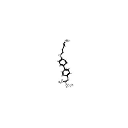 CCCCC=CCCSc1ccc(-c2ccc(O[C@H](C)C(=O)OCC)cc2)cc1